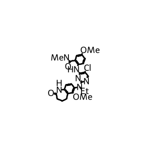 CCN(c1ncc(Cl)c(Nc2ccc(OC)cc2C(=O)NC)n1)c1ccc2c(c1OC)CCCC(=O)N2